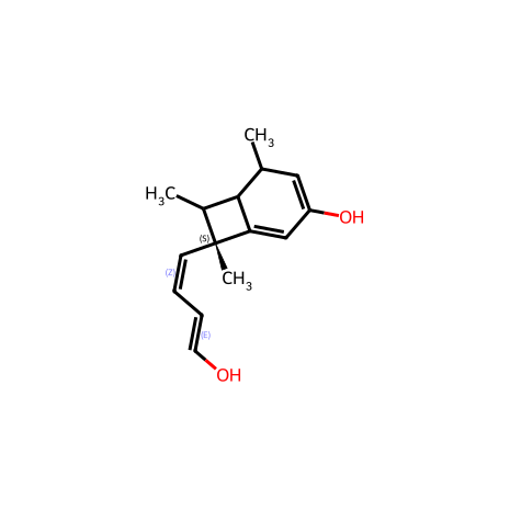 CC1C=C(O)C=C2C1C(C)[C@@]2(C)/C=C\C=C\O